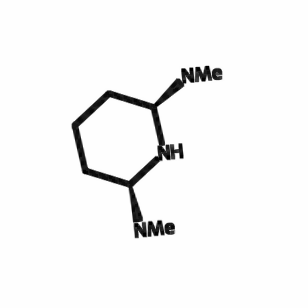 CN[C@H]1CCC[C@@H](NC)N1